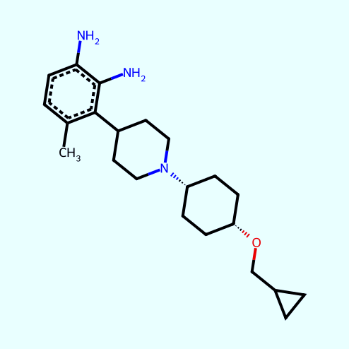 Cc1ccc(N)c(N)c1C1CCN([C@H]2CC[C@@H](OCC3CC3)CC2)CC1